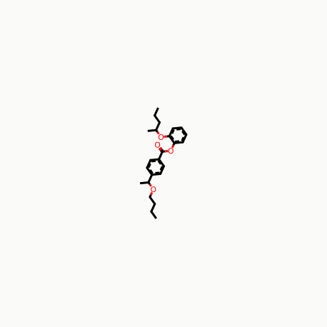 CCCCOC(C)c1ccc(C(=O)Oc2ccccc2OC(C)CCC)cc1